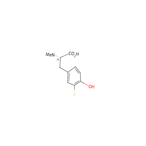 CN[C@@H](Cc1ccc(O)c(F)c1)C(=O)O